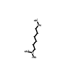 CCCPCCCCCCP(CCC)CCC